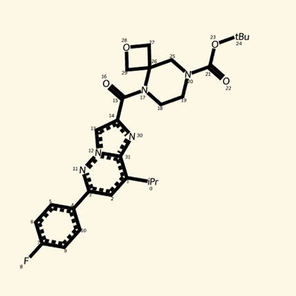 CC(C)c1cc(-c2ccc(F)cc2)nn2cc(C(=O)N3CCN(C(=O)OC(C)(C)C)CC34COC4)nc12